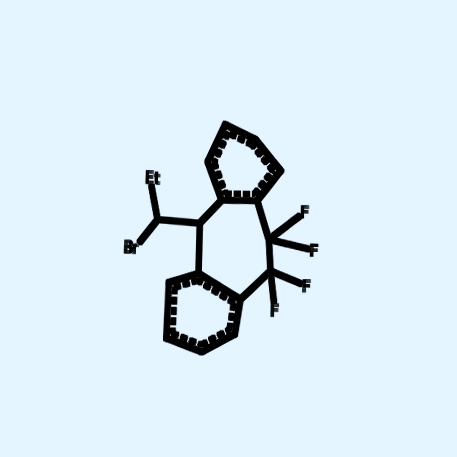 CCC(Br)C1c2ccccc2C(F)(F)C(F)(F)c2ccccc21